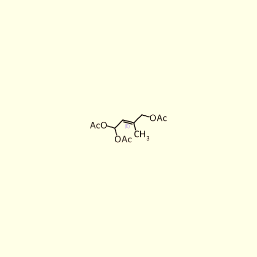 CC(=O)OC/C(C)=C/C(OC(C)=O)OC(C)=O